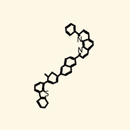 CC1CC(c2ccc3cc(-c4ccc5ccc6ccc(-c7ccccc7)nc6c5n4)ccc3c2)=CC=C1c1cccc2c3c(sc12)CCC=C3